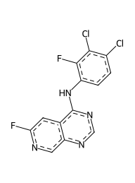 Fc1cc2c(Nc3ccc(Cl)c(Cl)c3F)ncnc2cn1